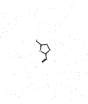 C=CC1CCC(C)O1